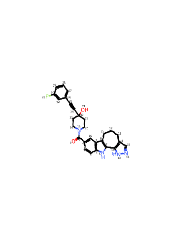 O=C(c1ccc2[nH]c3c(c2c1)CCCc1cn[nH]c1-3)N1CCC(O)(C#Cc2cccc(F)c2)CC1